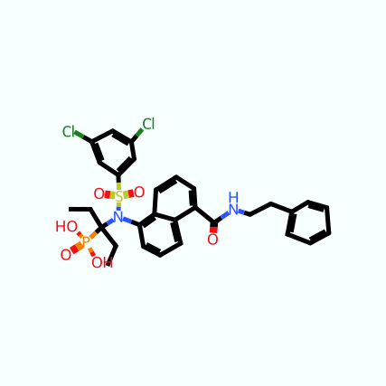 CCC(CC)(N(c1cccc2c(C(=O)NCCc3ccccc3)cccc12)S(=O)(=O)c1cc(Cl)cc(Cl)c1)P(=O)(O)O